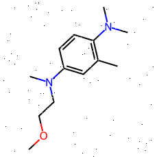 COCCN(C)c1ccc(N(C)C)c(C)c1